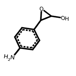 Nc1ccc(C2OC2O)cc1